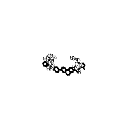 CC1CCN(C(=O)OC(C)(C)C)[C@@H]1c1ncc(-c2ccc3c(c2)CCc2cc(-c4ccc5nc([C@@H]6[C@H]7CC[C@H](C7)N6C(=O)OC(C)(C)C)[nH]c5c4)ccc2-3)[nH]1